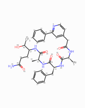 CC(C)[C@H](NC(=O)Cc1ccnc(-c2ccccc2)c1)C(=O)N[C@@H](Cc1ccccc1)C(=O)N[C@@H](C)C(=O)NC(CCC(N)=O)C(O)C(F)(F)F